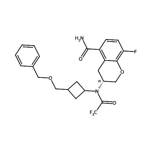 NC(=O)c1ccc(F)c2c1C[C@@H](N(C(=O)C(F)(F)F)C1CC(COCc3ccccc3)C1)CO2